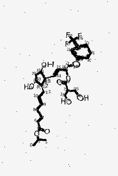 CC(C)OC(=O)CCCC=CC[C@@H]1[C@H](C=C[C@H](COc2cccc(C(F)(F)F)c2)OC(=O)C(CO)CO)[C@H](O)C[C@H]1O